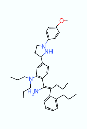 CCCC(=C(N)c1ccc(C2CCN(c3ccc(OC)cc3)N2)cc1N(CCC)CCC)c1ccccc1CCC